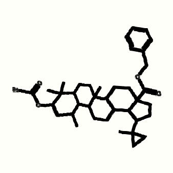 CCC(=O)OC1CC(C)C2C(CCC3(C)C4CCC5(C(=O)OCc6ccccc6)CCC(C6(C)CC6)C5C4CCC23)C1(C)C